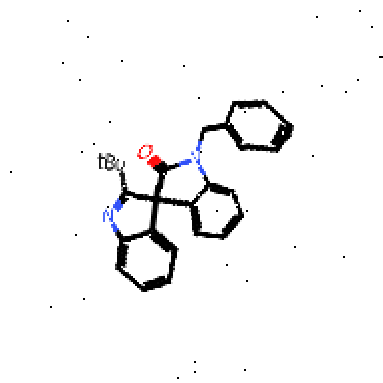 CC(C)(C)C1=Nc2ccccc2C12C(=O)N(Cc1ccccc1)c1ccccc12